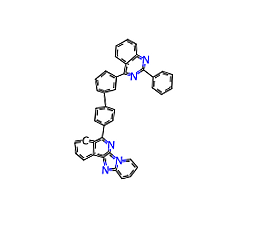 c1ccc(-c2nc(-c3cccc(-c4ccc(-c5nc6c(nc7ccccn76)c6ccccc56)cc4)c3)c3ccccc3n2)cc1